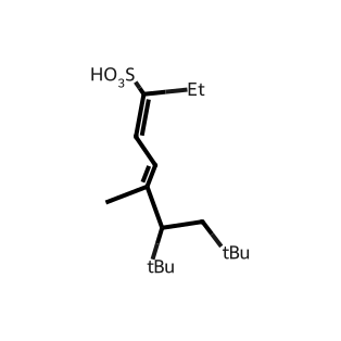 CC/C(=C\C=C(/C)C(CC(C)(C)C)C(C)(C)C)S(=O)(=O)O